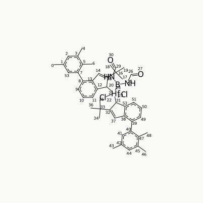 Cc1cc(C)c(C)c(-c2cccc3c2C=C(C(C)(C)C)[CH]3[Hf]([Cl])([Cl])([B](NC=O)NC=O)[CH]2C(C(C)(C)C)=Cc3c(-c4cc(C)cc(C)c4C)cccc32)c1